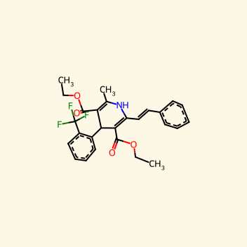 CCOC(=O)C1=C(C)NC(/C=C/c2ccccc2)=C(C(=O)OCC)C1c1ccccc1C(F)(F)F